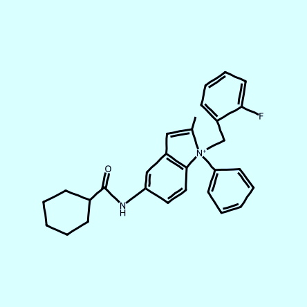 CC1=Cc2cc(NC(=O)C3CCCCC3)ccc2[N+]1(Cc1ccccc1F)c1ccccc1